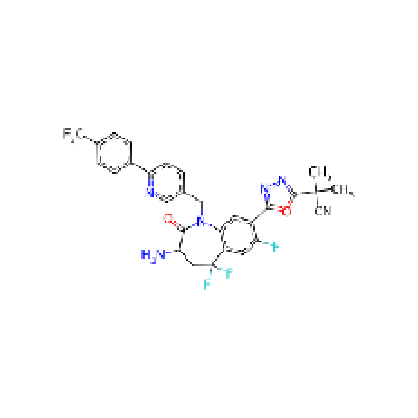 CC(C)(C#N)c1nnc(-c2cc3c(cc2F)C(F)(F)CC(N)C(=O)N3Cc2ccc(-c3ccc(C(F)(F)F)cc3)nc2)o1